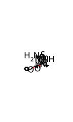 C[C@@H](NC(=O)[C@@H]1CC2(CC2)CN1C(=O)CNC(=O)CCCOc1ccccc1)c1cc(C(=N)N)cs1